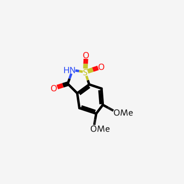 COc1cc2c(cc1OC)S(=O)(=O)NC2=O